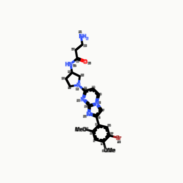 COc1cc(OC)c(-c2cn3ccc(N4CCC(NC(=O)CCN)C4)nc3n2)cc1Br